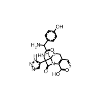 NC(C(=O)NC1(c2cnn[nH]2)C(=O)N2C(C(=O)O)=C(C=S)CS[C@H]21)c1ccc(O)cc1